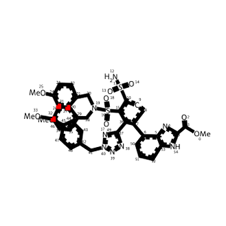 COC(=O)c1nc2c(-c3ccc(S(N)(=O)=O)c(S(=O)(=O)N(Cc4ccc(OC)cc4)Cc4ccc(OC)cc4)c3-c3nnn(Cc4ccc(OC)cc4)n3)cccc2[nH]1